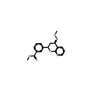 CON=C1CC(c2cccc(C(=O)OC)c2)Oc2ncccc21